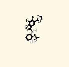 CC(O)S[C@H]1CCCC[C@H]1Nc1noc2c(F)c(F)c(C3OCCO3)cc12